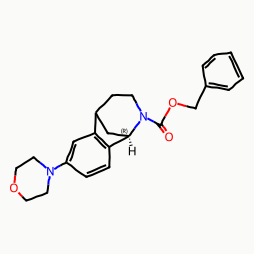 O=C(OCc1ccccc1)N1CCC2C[C@@H]1c1ccc(N3CCOCC3)cc12